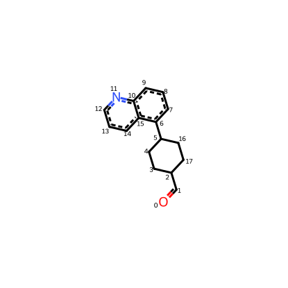 O=CC1CCC(c2cccc3ncccc23)CC1